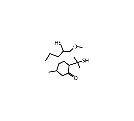 CC1CCC(C(C)(C)S)C(=O)C1.CCCC(S)COC